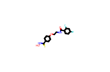 O=C(NCCOc1ccc(C(=S)NO)cc1)c1ccc(F)cc1F